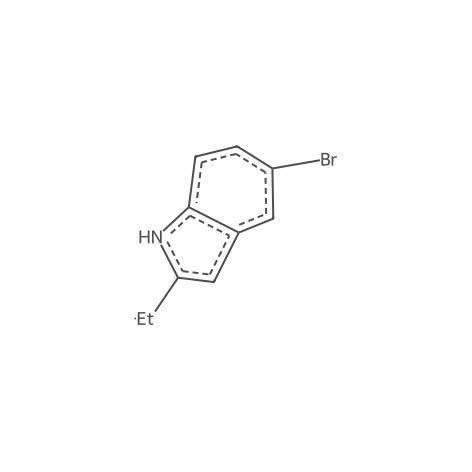 C[CH]c1cc2cc(Br)ccc2[nH]1